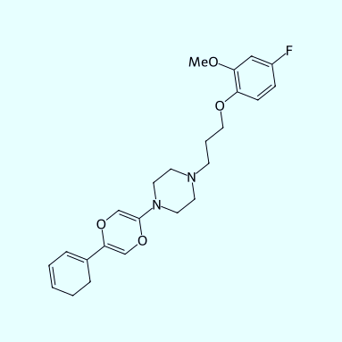 COc1cc(F)ccc1OCCCN1CCN(C2=COC(C3=CC=CCC3)=CO2)CC1